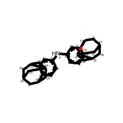 c1cc2c(cc1Nc1ccc3c(c1)C1CC4CC(CC3C4)C1)C1CC3CC(CC2C3)C1